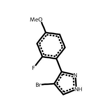 COc1ccc(-c2n[nH]cc2Br)c(F)c1